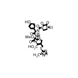 CCN1CCN(C(=O)N[C@H](C(=O)N[C@]2(OC)C(=O)N3C(C(=O)O)=C(CSc4nnnn4C)CS[C@H]32)c2ccc(O)cc2)C(=O)C1=O